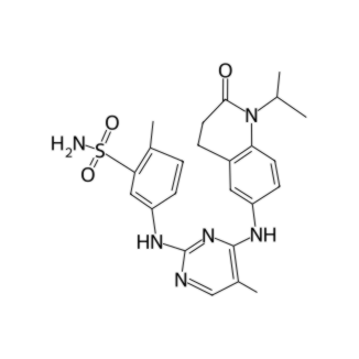 Cc1ccc(Nc2ncc(C)c(Nc3ccc4c(c3)CCC(=O)N4C(C)C)n2)cc1S(N)(=O)=O